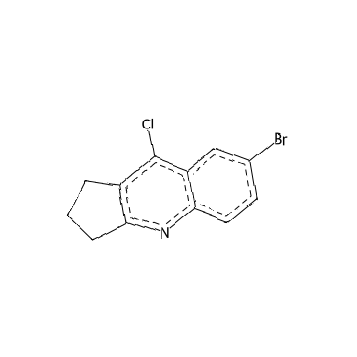 Clc1c2c(nc3ccc(Br)cc13)CCC2